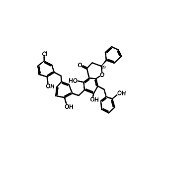 O=C1C[C@@H](c2ccccc2)Oc2c(Cc3ccccc3O)c(O)c(Cc3cc(Cc4cc(Cl)ccc4O)ccc3O)c(O)c21